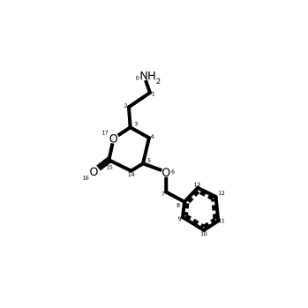 NCCC1CC(OCc2ccccc2)CC(=O)O1